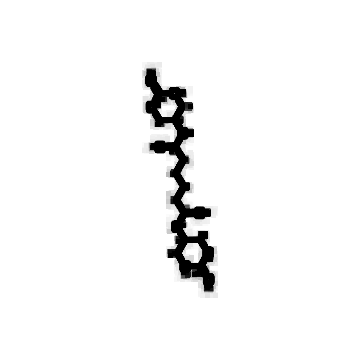 O=C(CCCCC(=O)OC1COC(=O)OC1)OC1COC(=O)OC1